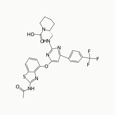 CC(=O)Nc1nc2c(Oc3cc(-c4ccc(C(F)(F)F)cc4)nc(NC[C@H]4CCCCN4C(=O)O)n3)cccc2s1